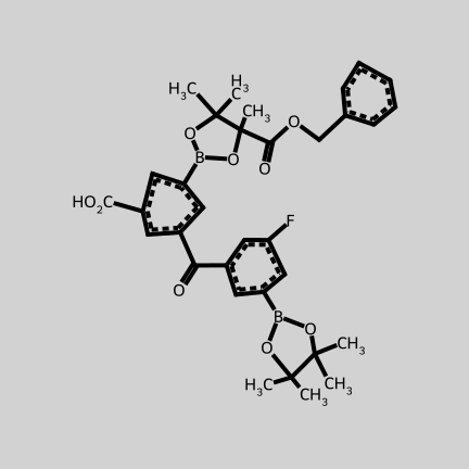 CC1(C)OB(c2cc(F)cc(C(=O)c3cc(B4OC(C)(C)C(C)(C(=O)OCc5ccccc5)O4)cc(C(=O)O)c3)c2)OC1(C)C